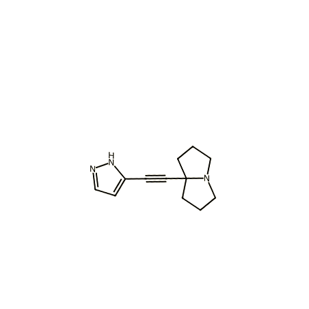 C(#CC12CCCN1CCC2)c1ccn[nH]1